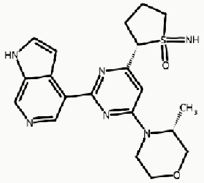 C[C@@H]1COCCN1c1cc([C@@H]2CCCS2(=N)=O)nc(-c2cncc3[nH]ccc23)n1